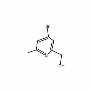 Cc1cc(Br)cc(CO)n1